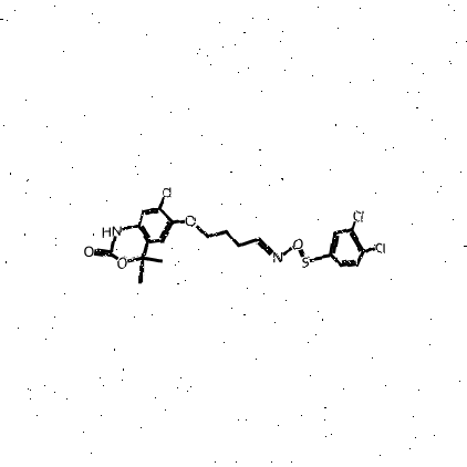 CC1(C)OC(=O)Nc2cc(Cl)c(OCCCC=NOSc3ccc(Cl)c(Cl)c3)cc21